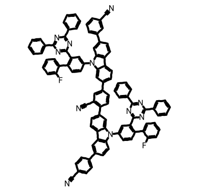 N#Cc1ccc(-c2ccc3c(c2)c2ccc(-c4ccc(-c5ccc6c7ccc(-c8cccc(C#N)c8)cc7n(-c7ccc(-c8ccccc8F)c(-c8nc(-c9ccccc9)nc(-c9ccccc9)n8)c7)c6c5)cc4C#N)cc2n3-c2ccc(-c3ccccc3F)c(-c3nc(-c4ccccc4)nc(-c4ccccc4)n3)c2)cc1